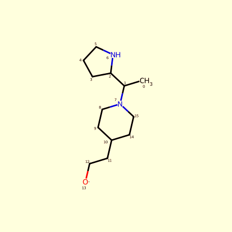 CC(C1CCCN1)N1CCC(CC[O])CC1